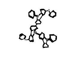 c1ccc(Oc2ccc3c(c2)c2ccc(-c4ccc5c6cc(Oc7ccccc7)ccc6n(-c6ccc7c(c6)c6ccccc6n7-c6ccccc6)c5c4)cc2n3-c2ccccc2)cc1